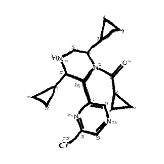 O=C(C1CC1)N1C(C2CC2)CNC(C2[CH]C2)C1c1cncc(Cl)n1